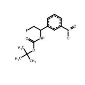 CC(C)(C)OC(=O)NC(CF)c1cccc([N+](=O)[O-])c1